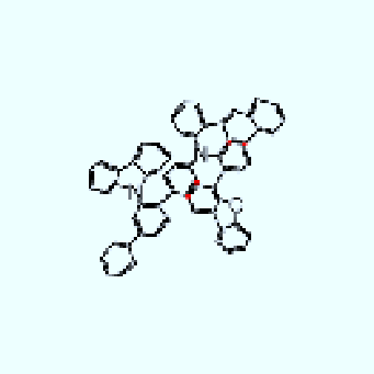 c1ccc(-c2ccc(-c3ccc(N(c4ccccc4-c4ccc5ccccc5c4)c4ccccc4-c4cccc5c4oc4ccccc45)cc3)c(-n3c4ccccc4c4ccccc43)c2)cc1